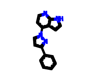 c1ccc(-c2ccn(-c3ccnc4[nH]ccc34)n2)cc1